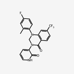 Cc1cc(F)ccc1N1CN(c2ccc[nH]c2=O)C(=O)c2ccc(C(F)(F)F)cc21